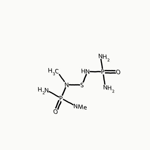 CNP(N)(=O)N(C)SNP(N)(N)=O